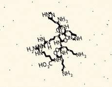 N=C(N)NCCC[C@H](NC(=O)[C@H](CCCCN)NC(=O)[C@H](CCCCN)NC(=O)[C@H](CCCNC(=N)N)NC(=O)[C@H](Cc1c[nH]cn1)NC(=O)[C@@H](N)Cc1c[nH]cn1)C(=O)O